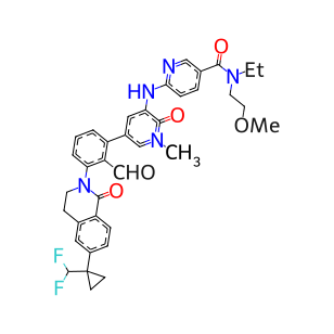 CCN(CCOC)C(=O)c1ccc(Nc2cc(-c3cccc(N4CCc5cc(C6(C(F)F)CC6)ccc5C4=O)c3C=O)cn(C)c2=O)nc1